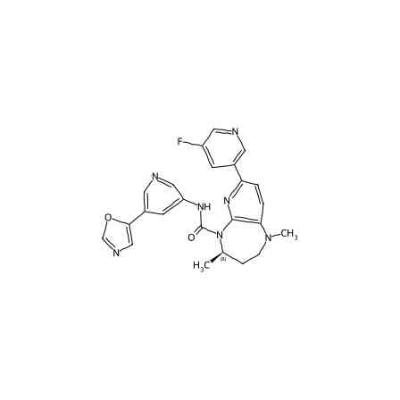 C[C@@H]1CCN(C)c2ccc(-c3cncc(F)c3)nc2N1C(=O)Nc1cncc(-c2cnco2)c1